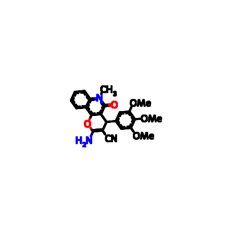 COc1cc(C2C(C#N)=C(N)Oc3c2c(=O)n(C)c2ccccc32)cc(OC)c1OC